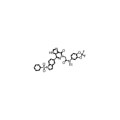 CCN(C(=O)Cn1nc(-c2ccc3c(ccn3S(=O)(=O)c3ccccc3)c2)c2[nH]cnc2c1=O)c1ccc2c(c1)OC(F)(F)O2